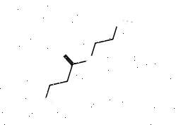 COCCOC(=O)CCC=O